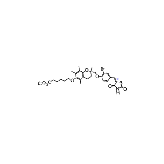 CCOC(=O)CCCCCOc1c(C)c(C)c2c(c1C)CCC(C)(COc1ccc(/C=C3/SC(=O)NC3=O)cc1Br)O2